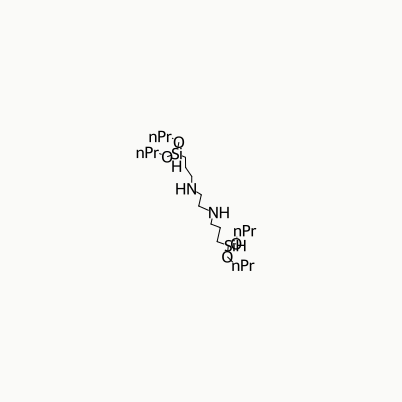 CCCO[SiH](CCCNCCNCCC[SiH](OCCC)OCCC)OCCC